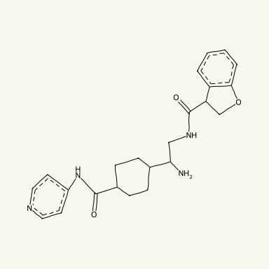 NC(CNC(=O)C1COc2ccccc21)C1CCC(C(=O)Nc2ccncc2)CC1